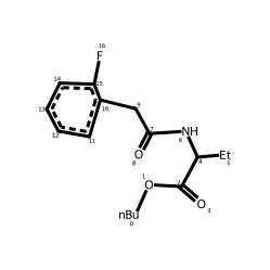 CCCCOC(=O)C(CC)NC(=O)Cc1ccccc1F